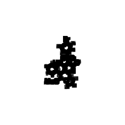 COCC(c1ccccc1)n1c(C2CCCO2)nc(=O)c(S(=O)(=O)c2ccc(Br)cc2)c1O